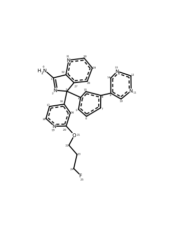 NC1=NC(c2cccc(-c3cncnc3)c2)(c2ccnc(OCCCF)c2)c2cccnc21